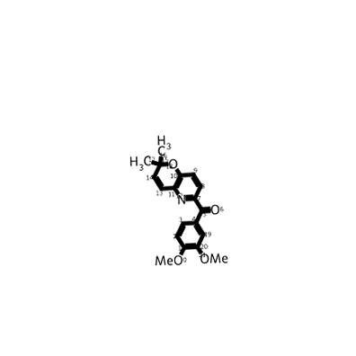 COc1ccc(C(=O)c2ccc3c(n2)C=CC(C)(C)O3)cc1OC